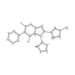 Cc1cc2nc(-c3nc(C(F)(F)F)n[nH]3)c(-c3cnc[nH]3)n2c(C)c1-c1ccccc1